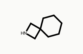 C1CCC2(CC1)CNC2